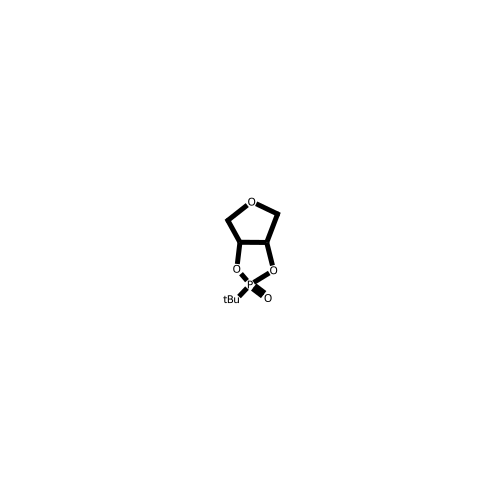 CC(C)(C)P1(=O)OC2COCC2O1